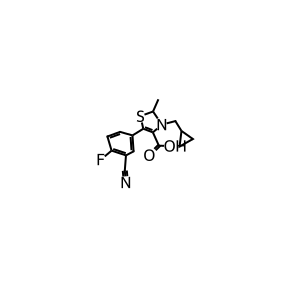 CC1SC(c2ccc(F)c(C#N)c2)=C(C(=O)O)N1CC1CC1